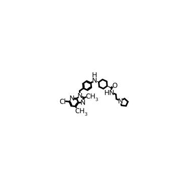 Cc1cc(Cl)nc2c1nc(C)n2Cc1ccc(N[C@H]2CC[C@H](C(=O)NCCN3CCCC3)CC2)cc1